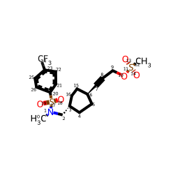 CN(C[C@H]1CC[C@H](C#CCOS(C)(=O)=O)CC1)S(=O)(=O)c1ccc(C(F)(F)F)cc1